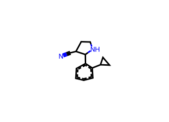 N#CC1CCNC1c1ccccc1C1CC1